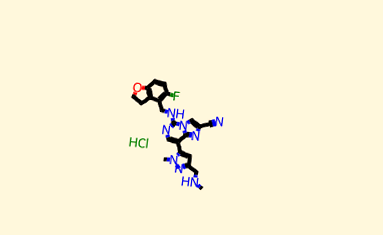 CNCc1cc(-c2cnc(NCc3c(F)ccc4c3CCO4)n3cc(C#N)nc23)n(C)n1.Cl